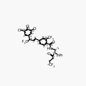 CCCN(C(=O)CCC(F)(F)F)[C@@H](C)NC(=O)c1ccc(/C=C/C(c2cc(Cl)c(Cl)c(Cl)c2)C(F)(F)F)cc1C(F)(F)F